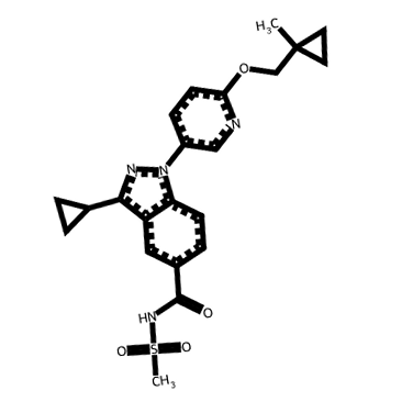 CC1(COc2ccc(-n3nc(C4CC4)c4cc(C(=O)NS(C)(=O)=O)ccc43)cn2)CC1